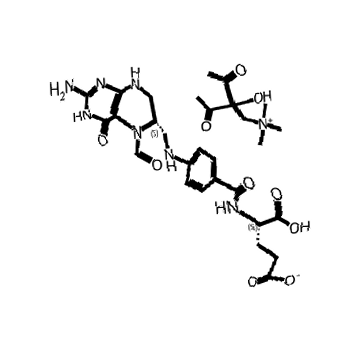 CC(=O)C(O)(C[N+](C)(C)C)C(C)=O.Nc1nc2c(c(=O)[nH]1)N(C=O)[C@@H](CNc1ccc(C(=O)N[C@@H](CCC(=O)[O-])C(=O)O)cc1)CN2